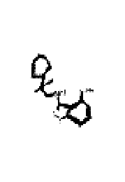 COc1cccc2snc(NCC(C)(C)c3ccccc3)c12